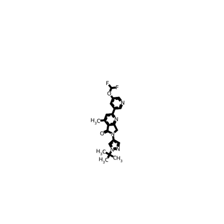 Cc1cc(-c2cncc(OC(F)F)c2)nc2c1C(=O)N(c1cnn(C(C)(C)C)c1)C2